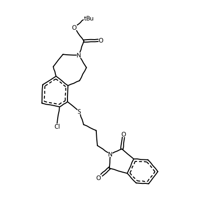 CC(C)(C)OC(=O)N1CCc2ccc(Cl)c(SCCCN3C(=O)c4ccccc4C3=O)c2CC1